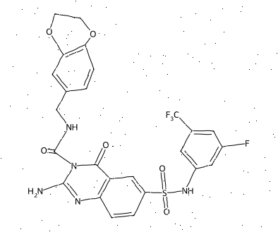 Nc1nc2ccc(S(=O)(=O)Nc3cc(F)cc(C(F)(F)F)c3)cc2c(=O)n1C(=O)NCc1ccc2c(c1)OCCO2